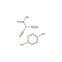 N#CC(C#N)C(=O)O.Oc1ccc(O)cc1